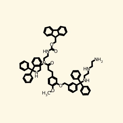 COc1ccc(CCC(=O)N(CCNC(=O)OCC2c3ccccc3-c3ccccc32)CCNC(c2ccccc2)(c2ccccc2)c2ccccc2)cc1OCc1cccc(C(NCCNCCN)(c2ccccc2)c2ccccc2)c1